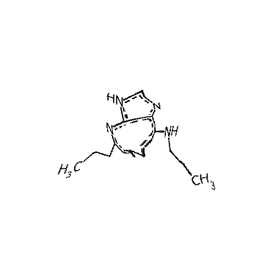 CCCNc1nc(CCC)nc2[nH]cnc12